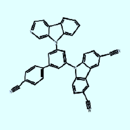 N#Cc1ccc(-c2cc(-n3c4ccc(C#N)cc4c4cc(C#N)ccc43)cc(-n3c4ccccc4c4ccncc43)c2)cc1